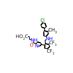 Cc1cc(NCc2c(-c3ccc(C(=O)NCCC(=O)O)nc3)cc(C(F)(F)F)cc2C(F)(F)F)ccc1-c1ccc(Cl)cc1